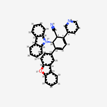 N#CC1C(c2cccnc2)=CC=C(c2ccc3oc4ccccc4c3c2)[C@H]1n1c2ccccc2c2ccccc21